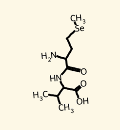 C[Se]CCC(N)C(=O)NC(C(=O)O)C(C)C